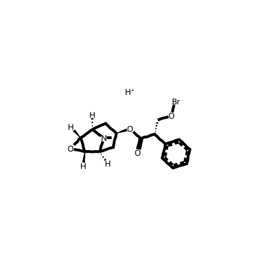 CN1[C@@H]2C[C@@H](OC(=O)[C@H](COBr)c3ccccc3)C[C@H]1[C@@H]1O[C@@H]12.[H+]